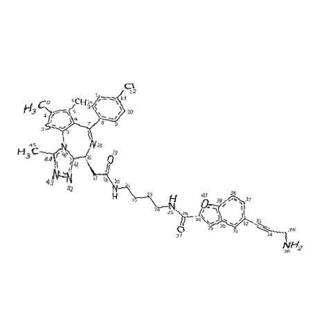 Cc1sc2c(c1C)C(c1ccc(Cl)cc1)=N[C@@H](CC(=O)NCCCCNC(=O)c1cc3cc(C#CCN)ccc3o1)c1nnc(C)n1-2